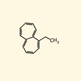 CCC1=CC=CC=C2C=CC=CC=C21